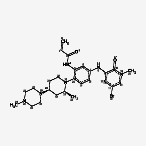 C=CC(=O)Nc1cc(Nc2nc(Br)cn(C)c2=O)ccc1N1CC[C@H](N2CCN(C)CC2)C[C@@H]1C